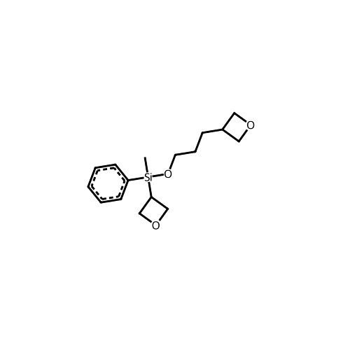 C[Si](OCCCC1COC1)(c1ccccc1)C1COC1